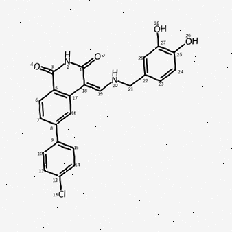 O=C1NC(=O)c2ccc(-c3ccc(Cl)cc3)cc2C1=CNCc1ccc(O)c(O)c1